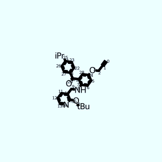 C#CCOc1ccc(NCc2cccnc2OC(C)(C)C)c(C(=O)c2ccc(C(C)C)cc2)c1